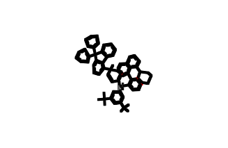 CC(C)(C)c1cc(N(C2=CCC(C)(c3cccc4c3-c3ccccc3C4(c3ccccc3)c3ccccc3)C=C2)c2ccccc2-c2cccc3cccc(C4CCCCC4)c23)cc(C(C)(C)C)c1